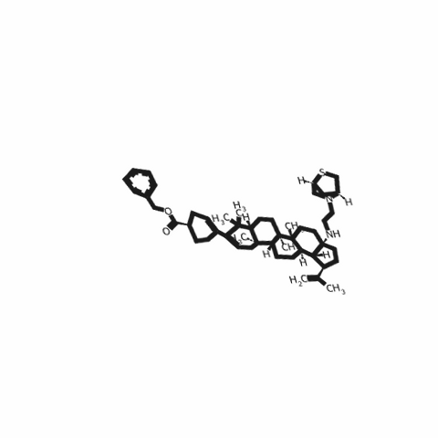 C=C(C)[C@@H]1CC[C@]2(NCCN3C[C@@H]4C[C@H]3CS4)CC[C@]3(C)[C@H](CC[C@@H]4[C@@]5(C)CC=C(C6=CC[C@H](C(=O)OCc7ccccc7)CC6)C(C)(C)[C@@H]5CC[C@]43C)[C@@H]12